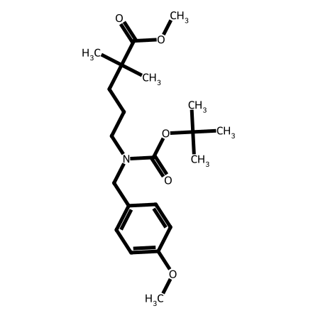 COC(=O)C(C)(C)CCCN(Cc1ccc(OC)cc1)C(=O)OC(C)(C)C